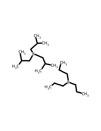 CC(C)CB(CC(C)C)CC(C)C.CCCB(CCC)CCC